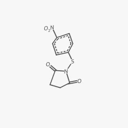 O=C1CCC(=O)N1Sc1ccc([N+](=O)[O-])cc1